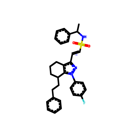 CC(NS(=O)(=O)/C=C/c1nn(-c2ccc(F)cc2)c2c1CCCC2CCc1ccccc1)c1ccccc1